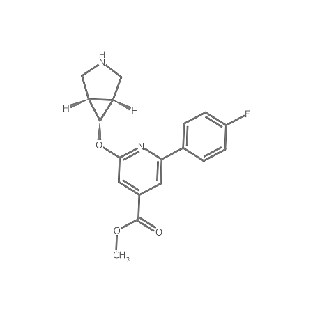 COC(=O)c1cc(O[C@H]2[C@@H]3CNC[C@@H]32)nc(-c2ccc(F)cc2)c1